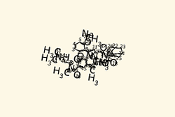 COc1cccc(OC)c1-c1cc(C(=O)NC2(C(=O)O)C3CC4CC(C3)CC2C4)nn1-c1ccc(C(=O)N(C)CCCN(C)C)cc1C(C)C.[Na]